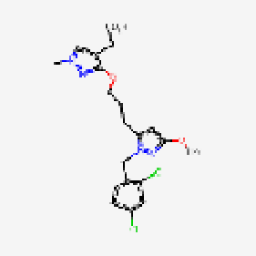 CCCOc1cc(CCCOc2nn(C)cc2CC(=O)O)n(Cc2ccc(Cl)cc2Cl)n1